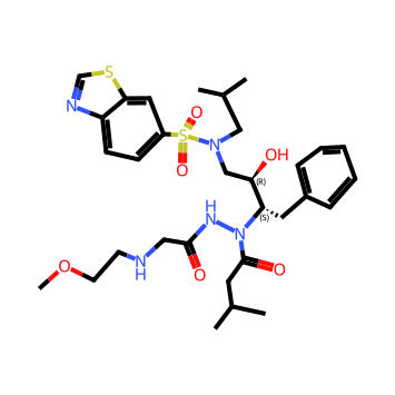 COCCNCC(=O)NN(C(=O)CC(C)C)[C@@H](Cc1ccccc1)[C@H](O)CN(CC(C)C)S(=O)(=O)c1ccc2ncsc2c1